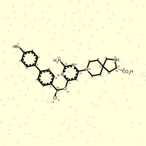 CCCCc1ccc(-c2ccc([C@@H](Oc3cc(N4CCC5(CC4)CN[C@H](C(=O)O)C5)nc(N)n3)C(F)(F)F)cc2)cc1